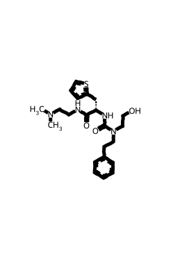 CN(C)CCNC(=O)[C@H](Cc1cccs1)NC(=O)N(CCO)CCc1ccccc1